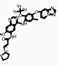 [2H]C([2H])([2H])Oc1cc(Oc2ccn3ncnc3c2)c(C)cc1Nc1ncnc2cc(OC)c(NC(=O)/C=C/[C@H]3CCCN3C)cc12